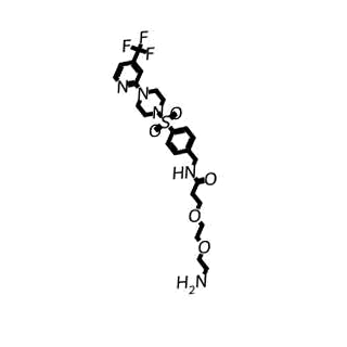 NCCOCCOCCC(=O)NCc1ccc(S(=O)(=O)N2CCN(c3cc(C(F)(F)F)ccn3)CC2)cc1